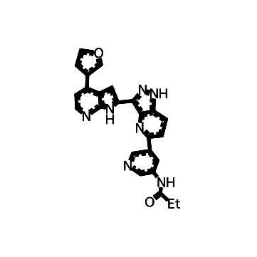 CCC(=O)Nc1cncc(-c2ccc3[nH]nc(-c4cc5c(-c6ccoc6)ccnc5[nH]4)c3n2)c1